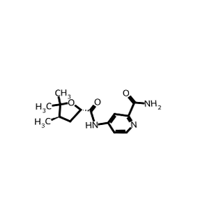 C[C@@H]1C[C@@H](C(=O)Nc2ccnc(C(N)=O)c2)OC1(C)C